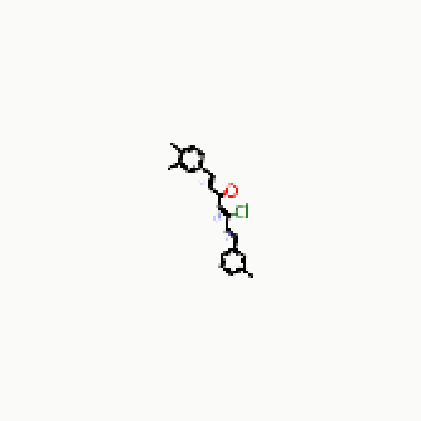 Cc1cccc(/C=C/C(Cl)=C/C(=O)/C=C/c2ccc(C)c(C)c2)c1